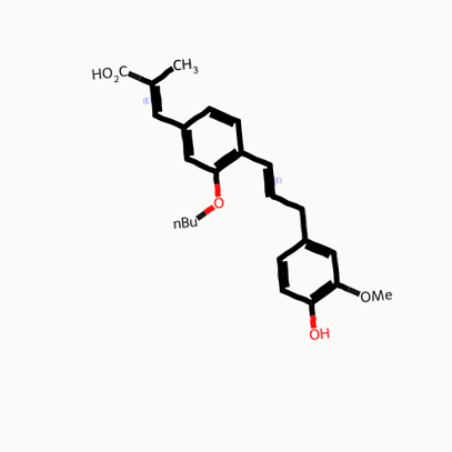 CCCCOc1cc(/C=C(\C)C(=O)O)ccc1/C=C/Cc1ccc(O)c(OC)c1